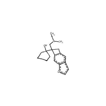 CN(C)CC1(C2(O)CCCC2)Cc2cc3ccoc3cc21